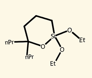 CCCC1(CCC)CCC[Si](OCC)(OCC)O1